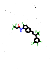 O=C(CC(F)(F)F)NC1c2ccc(/C=C/C(c3cc(Cl)c(F)c(Cl)c3)C(F)(F)F)cc2CC1F